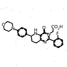 O=C(O)Cn1c(-c2ccccc2F)nc2c(c1=O)NC(c1ccc(N3CCOCC3)cc1)CC2